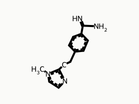 Cn1ccnc1CCc1ccc(C(=N)N)cc1